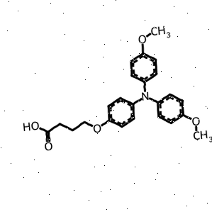 COc1ccc(N(c2ccc(OC)cc2)c2ccc(OCCCC(=O)O)cc2)cc1